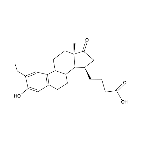 CCc1cc2c(cc1O)CCC1C2CC[C@]2(C)C(=O)C[C@@H](CCCC(=O)O)C12